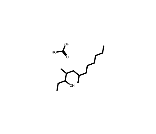 CCCCCCC(C)CC(C)C(O)CC.O=C(O)O